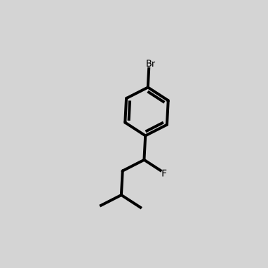 CC(C)CC(F)c1ccc(Br)cc1